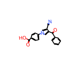 N#Cc1cn(-c2ccc(C(=O)O)cc2)cc1C(=O)c1ccccc1